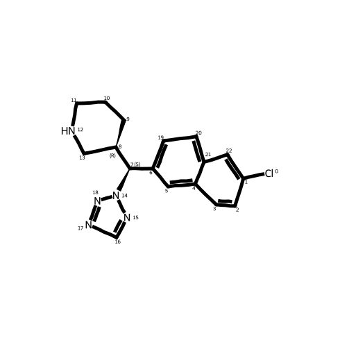 Clc1ccc2cc([C@H]([C@@H]3CCCNC3)n3ncnn3)ccc2c1